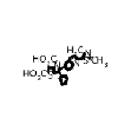 Cc1nc(C)c(-c2ccc3cc(-c4c(-c5ccccc5)c5sc(C(=O)O)cc5n4CC(=O)O)ccc3n2)s1